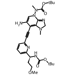 COCC[C@H](NC(=O)OC(C)(C)C)c1cccc(C#CC2=C3C(=NCN3C)N(N(C)C(=O)OC(C)(C)C)C=C2N)n1